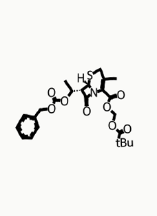 CC1=C(C(=O)OCOC(=O)C(C)(C)C)N2C(=O)[C@H](C(C)OC(=O)OCc3ccccc3)[C@@H]2SC1